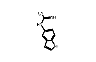 N=C(N)Nc1ccc2[nH]ccc2c1